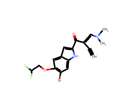 C#C/C(=C\N(C)C)C(=O)c1cc2cc(OCC(F)F)c(Br)cc2[nH]1